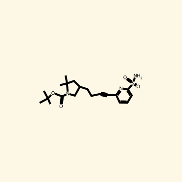 CC(C)(C)OC(=O)N1CC(CCC#Cc2cccc(S(N)(=O)=O)n2)CC1(C)C